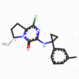 Cc1cccc(C2(Nc3nc(Cl)c4n(c3=O)[C@H](C(=O)O)CC4)CC2)c1